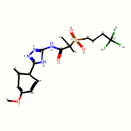 COC1=CC(C)C(c2nnc(NC(=O)C(C)(C)S(=O)(=O)CCCC(F)(F)F)[nH]2)C=C1